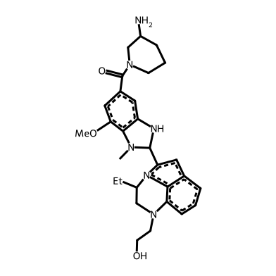 CCC1CN(CCO)c2cccc3cc(C4Nc5cc(C(=O)N6CCCC(N)C6)cc(OC)c5N4C)n1c23